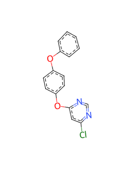 Clc1cc(Oc2ccc(Oc3ccccc3)cc2)ncn1